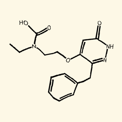 CCN(CCOc1cc(=O)[nH]nc1Cc1ccccc1)C(=O)O